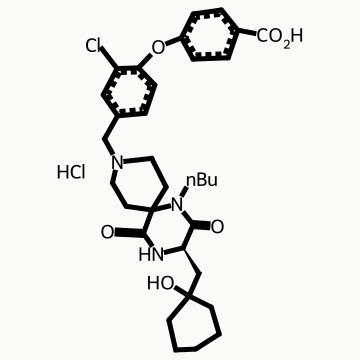 CCCCN1C(=O)[C@@H](CC2(O)CCCCC2)NC(=O)C12CCN(Cc1ccc(Oc3ccc(C(=O)O)cc3)c(Cl)c1)CC2.Cl